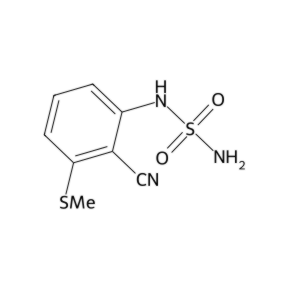 CSc1cccc(NS(N)(=O)=O)c1C#N